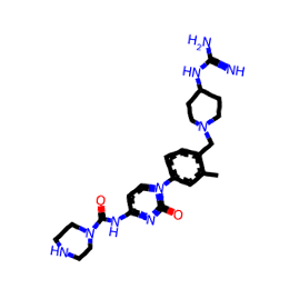 Cc1cc(-n2ccc(NC(=O)N3CCNCC3)nc2=O)ccc1CN1CCC(NC(=N)N)CC1